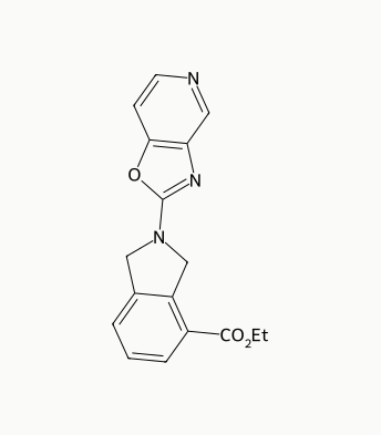 CCOC(=O)c1cccc2c1CN(c1nc3cnccc3o1)C2